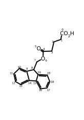 O=C(O)CCCC(=O)OCC1c2ccccc2-c2ccccc21